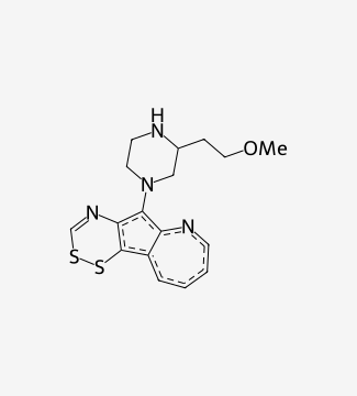 COCCC1CN(c2c3nccccc-3c3c2N=CSS3)CCN1